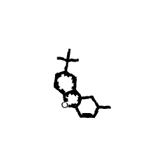 CC1C=Cc2oc3ccc(C(C)(C)C)cc3c2C1